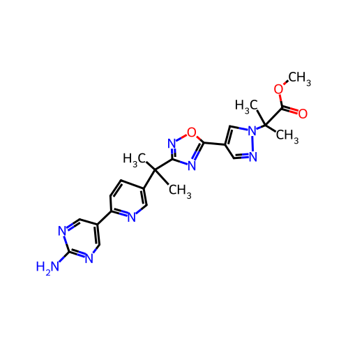 COC(=O)C(C)(C)n1cc(-c2nc(C(C)(C)c3ccc(-c4cnc(N)nc4)nc3)no2)cn1